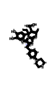 CCC1(c2ccc(O)c(O)c2)C(C(=O)O)=C(C)N=c2s/c(=C\c3ccc(N4CCOCC4)cc3)c(=O)n21